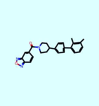 Cc1cccc(-c2ccc(C3CCN(C(=O)c4ccc5nonc5c4)CC3)cc2)c1C